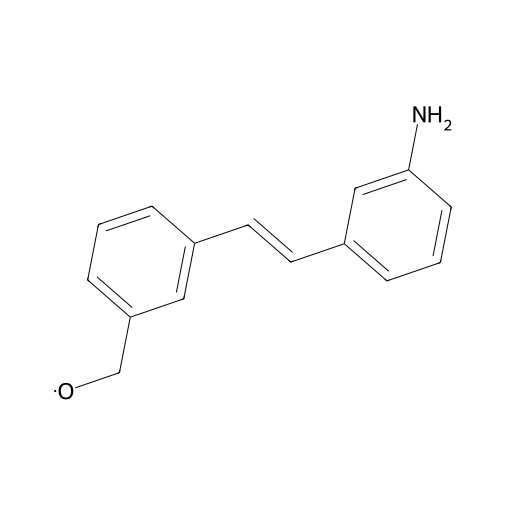 Nc1cccc(C=Cc2cccc(C[O])c2)c1